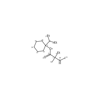 CCC(CC)C1(OC(=O)C(C)(CC)NI)CCCCC1